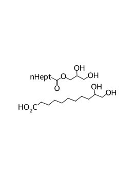 CCCCCCCC(=O)OCC(O)CO.O=C(O)CCCCCCCCC(O)CO